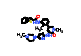 Cc1c(NC(=O)c2cc3c(s2)C2CCC3C2)cccc1-c1cc(Nc2ccc(N3CCCN(C)CC3)cn2)c(=O)n(C)c1